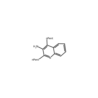 CCCCCc1nc2ccccc2c(CCCCC)c1N